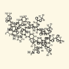 CC(C)C[C@H](NC(=O)[C@@H]1CCCN1C(=O)[C@H](Cc1ccccc1)NC(=O)[C@H](C)NC(=O)[C@H](CCC(=O)OC(C)(C)C)NC(=O)[C@H](C)NC(=O)[C@H](COC(C)(C)C)NC(=O)[C@H](CCC(=O)OC(C)(C)C)NC(=O)[C@H](CC(=O)OC(C)(C)C)NC(=O)[C@H](CCC(=O)OC(C)(C)C)NC(=O)[C@H](C)NC(=O)CN)C(=O)N[C@@H](CCC(=O)OC(C)(C)C)C(=O)N[C@@H](Cc1ccccc1)C(=O)O